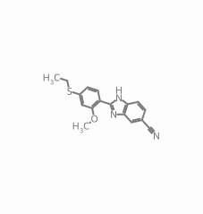 CCSc1ccc(-c2nc3cc(C#N)ccc3[nH]2)c(OC)c1